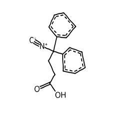 [C-]#[N+]C(CCC(=O)O)(c1ccccc1)c1ccccc1